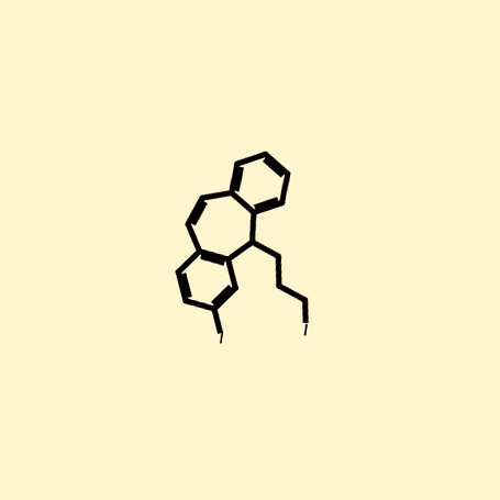 ICCCC1c2ccccc2C=Cc2ccc(I)cc21